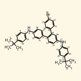 CC(C)(C)c1ccc(Nc2ccc(-c3ccc(Nc4ccc(C(C)(C)C)cc4)cc3-c3ccc(Br)cc3)cc2)cc1